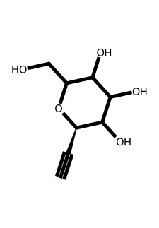 C#C[C@H]1OC(CO)C(O)C(O)C1O